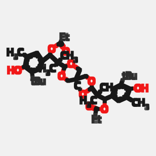 CCC(=O)OC(c1cc(C)c(O)c(C(C)(C)C)c1)C(C)(C)C1OCC2(CO1)COC(C(C)(C)C(OC(=O)CC)c1cc(C)c(O)c(C(C)(C)C)c1)OC2